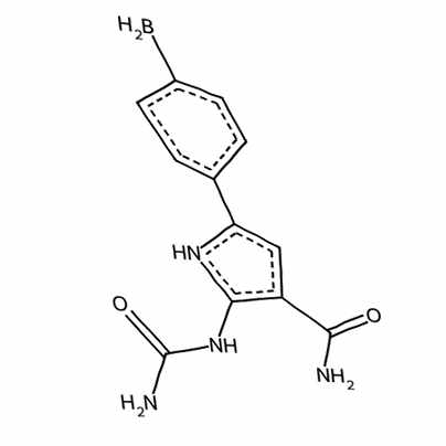 Bc1ccc(-c2cc(C(N)=O)c(NC(N)=O)[nH]2)cc1